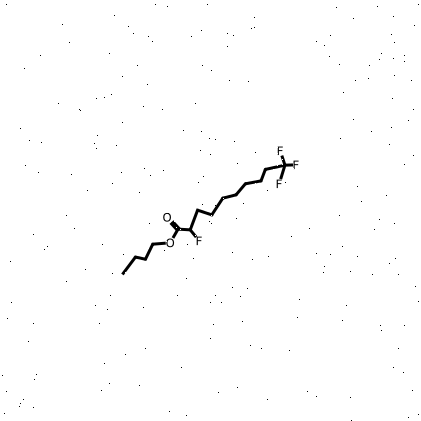 CCCCOC(=O)C(F)CCCCCCCC(F)(F)F